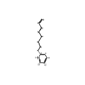 C=CCCCCCCc1ccccn1